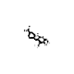 Cc1nc2nonc2c(N)c1Cc1ccc(C(F)F)cc1